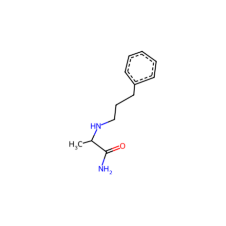 CC(NCCCc1ccccc1)C(N)=O